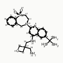 BC(B)(B)c1ccc2nc(N3CCS(=O)(=O)c4ccccc4C3)cc(NCC3(CN)COC3)c2c1